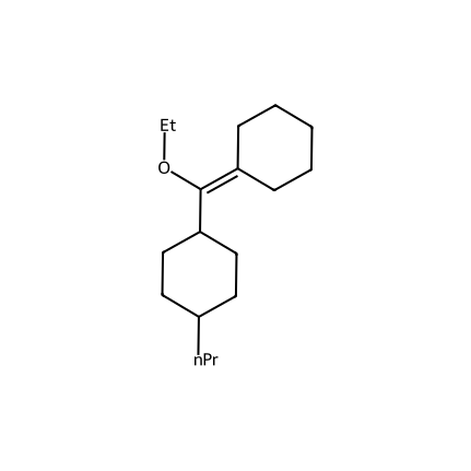 CCCC1CCC(C(OCC)=C2CCCCC2)CC1